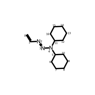 C=CN=NN(C1CCCCC1)C1CCCCC1